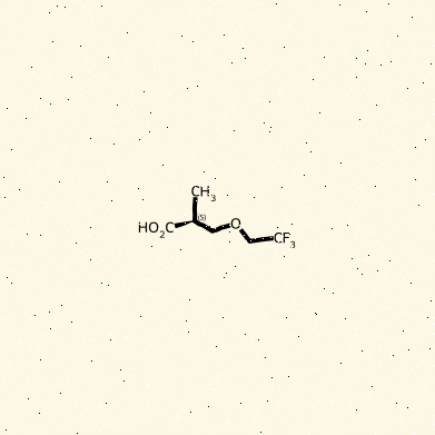 C[C@@H](COCC(F)(F)F)C(=O)O